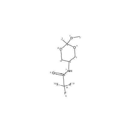 COC1(C)OCC(NC(=O)C(F)(F)F)CO1